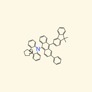 CC1(C)c2ccccc2-c2cc(-c3c4ccccc4c(N4c5ccccc5[Si]5(CCCC5)c5ccccc54)c4ccc(-c5ccccc5)cc34)ccc21